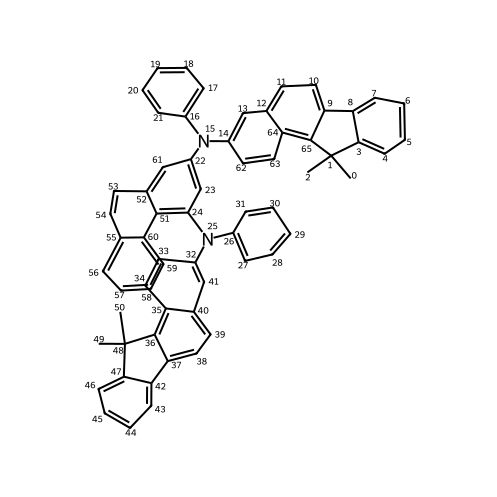 CC1(C)c2ccccc2-c2ccc3cc(N(c4ccccc4)c4cc(N(c5ccccc5)c5ccc6c7c(ccc6c5)-c5ccccc5C7(C)C)c5c(ccc6ccccc65)c4)ccc3c21